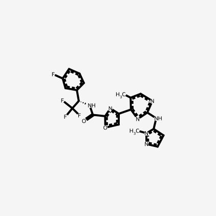 Cc1cnc(Nc2ccnn2C)nc1-c1coc(C(=O)N[C@@H](c2cccc(F)c2)C(F)(F)F)n1